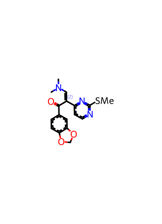 CSc1nccc(/C(=C/N(C)C)C(=O)c2ccc3c(c2)OCO3)n1